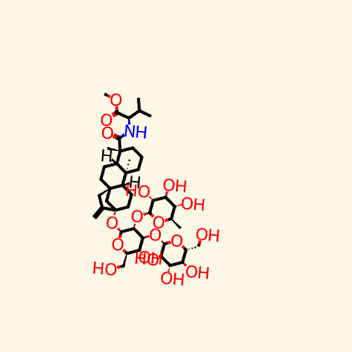 C=C1C[C@@]23CC[C@H]4[C@@](C)(CCC[C@@]4(C)C(=O)N[C@@H](C(=O)OC)C(C)C)[C@@H]2CC[C@]1(O[C@@H]1O[C@H](CO)[C@@H](O)[C@H](O[C@@H]2O[C@H](CO)[C@@H](O)[C@H](O)[C@H]2O)[C@H]1O[C@@H]1O[C@H](C)[C@@H](O)[C@H](O)[C@H]1O)C3